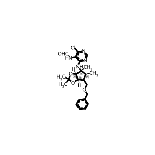 C[C@H]1C(COCc2ccccc2)[C@H]2OC(C)(C)O[C@H]2[C@]1(C)Nc1ncnc(Cl)c1NC=O